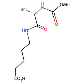 COC(=O)N[C@H](C(=O)NCCCCC(=O)O)C(C)C